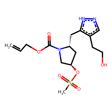 C=CCOC(=O)N1C[C@H](OS(C)(=O)=O)C[C@H]1Cc1[nH]ncc1CCO